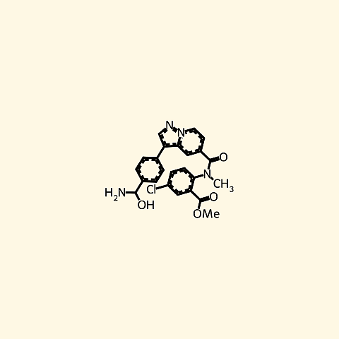 COC(=O)c1cc(Cl)ccc1N(C)C(=O)c1ccn2ncc(-c3ccc(C(N)O)cc3)c2c1